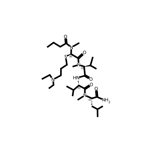 CCCC(=O)N(C)[C@H](SCCCN(CC)CC)C(=O)N(C)[C@H](C(=O)N[C@H](C(=O)N(C)[C@@H](CC(C)C)C(N)=O)C(C)C)C(C)C